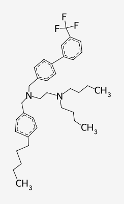 CCCCCc1ccc(CN(CCN(CCCC)CCCC)Cc2ccc(-c3cccc(C(F)(F)F)c3)cc2)cc1